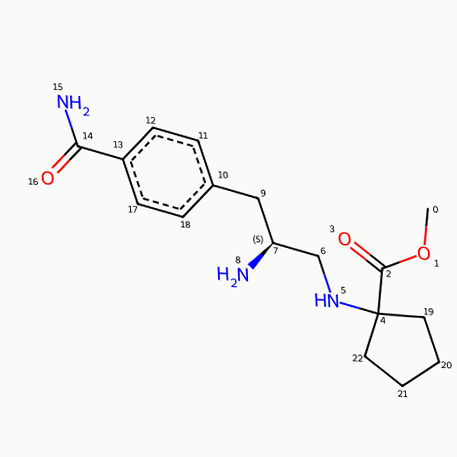 COC(=O)C1(NC[C@@H](N)Cc2ccc(C(N)=O)cc2)CCCC1